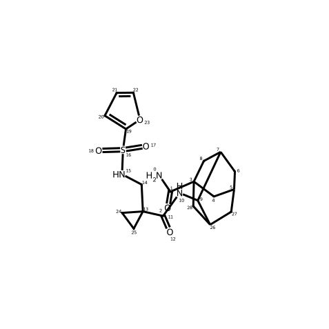 NC(=O)C12CC3CC(C1)C(NC(=O)C1(CNS(=O)(=O)c4ccco4)CC1)C(C3)C2